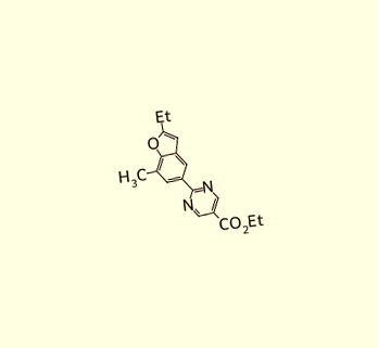 CCOC(=O)c1cnc(-c2cc(C)c3oc(CC)cc3c2)nc1